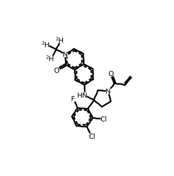 [2H]C([2H])([2H])n1ccc2ccc(NC3(c4c(F)ccc(Cl)c4Cl)CCN(C(=O)C=C)C3)cc2c1=O